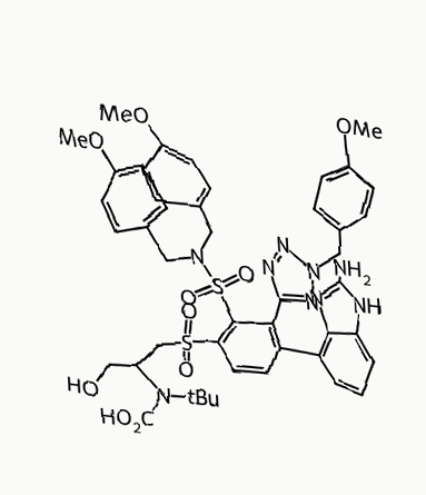 COc1ccc(CN(Cc2ccc(OC)cc2)S(=O)(=O)c2c(S(=O)(=O)CC(CO)N(C(=O)O)C(C)(C)C)ccc(-c3cccc4[nH]c(N)nc34)c2-c2nnn(Cc3ccc(OC)cc3)n2)cc1